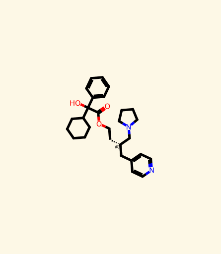 O=C(OCC[C@@H](Cc1ccncc1)CN1CCCC1)C(O)(c1ccccc1)C1CCCCC1